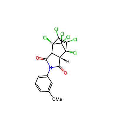 COc1cccc(N2C(=O)C3[C@@H](C2=O)[C@@]2(Cl)C(Cl)=C(Cl)[C@]3(Cl)C2(Cl)Cl)c1